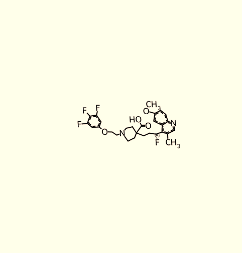 COc1ccc2ncc(C)c([C@H](F)CCC3(C(=O)O)CCN(CCOc4cc(F)c(F)c(F)c4)CC3)c2c1